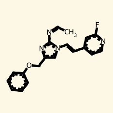 C/C=N\c1nc(COc2ccccc2)cn1/C=C/c1ccnc(F)c1